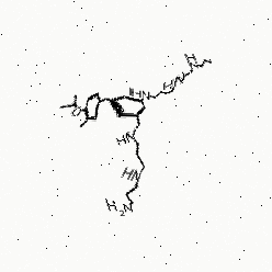 CCCNCNCCCNc1cc(CNCCCNCCCN)cc(-c2ccc(OC(C)C)c(C)c2)c1